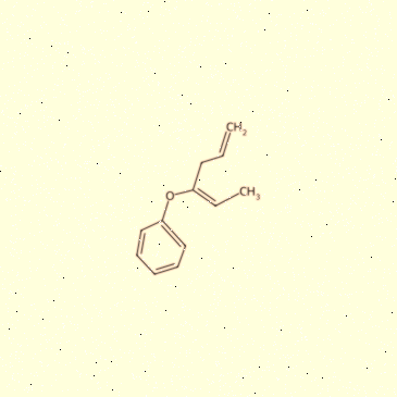 C=CCC(=CC)Oc1ccccc1